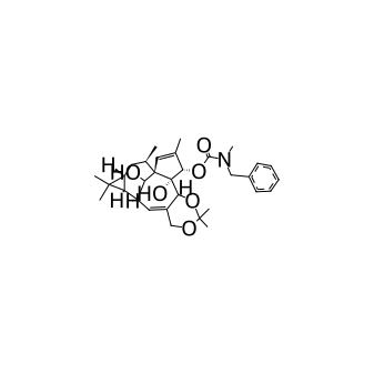 CC1=C[C@]23C(O)[C@@H](C=C4COC(C)(C)O[C@H]4[C@]2(O)[C@H]1OC(=O)N(C)Cc1ccccc1)[C@H]1[C@@H](C[C@H]3C)C1(C)C